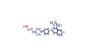 CNc1nc(-c2ccc(N3CCN(CCCO)CC3)cc2)cc2nccnc12